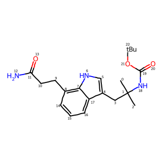 CC(C)(Cc1c[nH]c2c(CCC(N)=O)cccc12)NC(=O)OC(C)(C)C